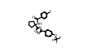 O=C(NC1(c2nc(-c3ccc(OC(F)(F)F)cc3)no2)CCCC1)c1ccc(F)cc1